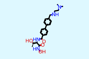 C[C@@H](O)[C@H](NC(=O)c1ccc(-c2ccc(CNCCN(C)C)cc2)cc1)C(=O)NO